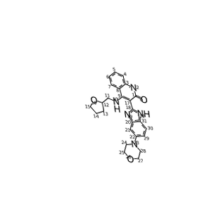 O=C1[N]c2ccccc2C(NCC2CCCO2)=C1c1nc2cc(N3CCOCC3)ccc2[nH]1